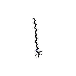 CCCCCCCCCCCCC/C=C/C(=O)OC